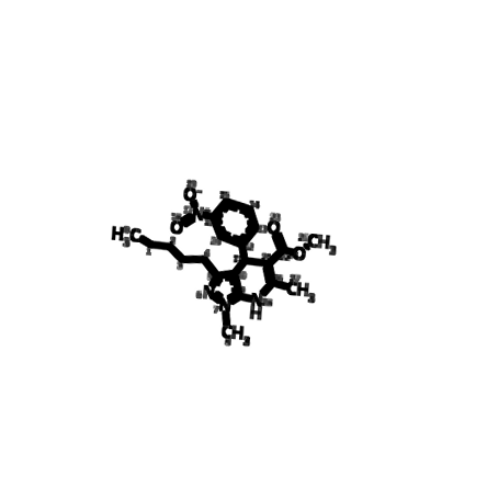 CCCCCc1nn(C)c2c1C(c1cccc([N+](=O)[O-])c1)C(C(=O)OC)=C(C)N2